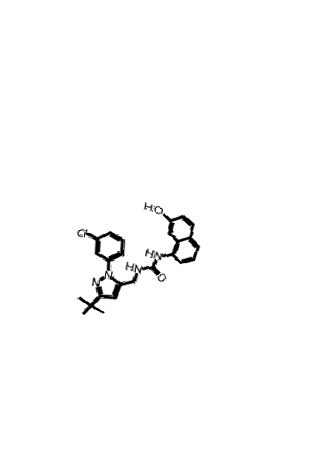 CC(C)(C)c1cc(CNC(=O)Nc2cccc3ccc(O)cc23)n(-c2cccc(Cl)c2)n1